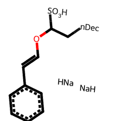 CCCCCCCCCCCC(OC=Cc1ccccc1)S(=O)(=O)O.[NaH].[NaH]